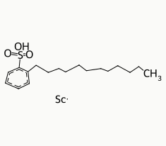 CCCCCCCCCCCCc1ccccc1S(=O)(=O)O.[Sc]